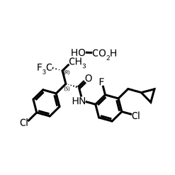 C[C@H]([C@H](C(=O)Nc1ccc(Cl)c(CC2CC2)c1F)c1ccc(Cl)cc1)C(F)(F)F.O=C(O)O